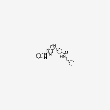 CCN(CC)CCNC(=O)C1CCN(c2nccc3nc(NCc4ccccc4C)ncc23)CC1